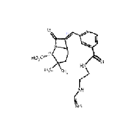 CC1(C)CC2/C(=C\c3cc(C(=O)NCCNC=N)ccn3)C(=O)N2[C@H]1C(=O)O